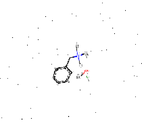 CCO.CC[N+](CC)(CC)Cc1ccccc1.[Cl-]